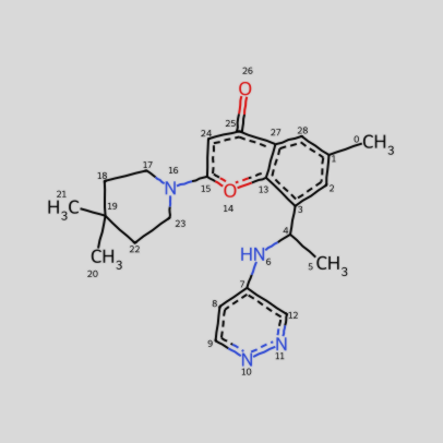 Cc1cc(C(C)Nc2ccnnc2)c2oc(N3CCC(C)(C)CC3)cc(=O)c2c1